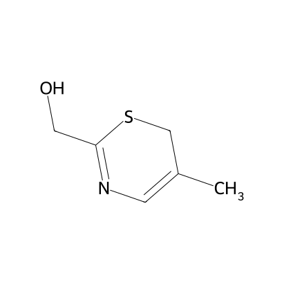 CC1=CN=C(CO)SC1